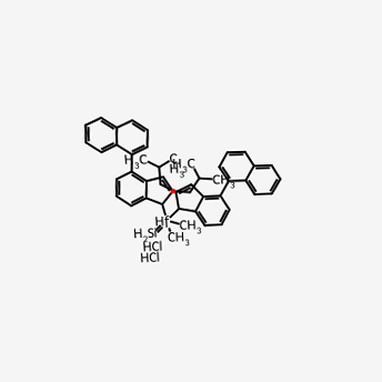 CC(C)CC1=Cc2c(-c3cccc4ccccc34)cccc2[CH]1[Hf]([CH3])([CH3])(=[SiH2])[CH]1C(CC(C)C)=Cc2c(-c3cccc4ccccc34)cccc21.Cl.Cl